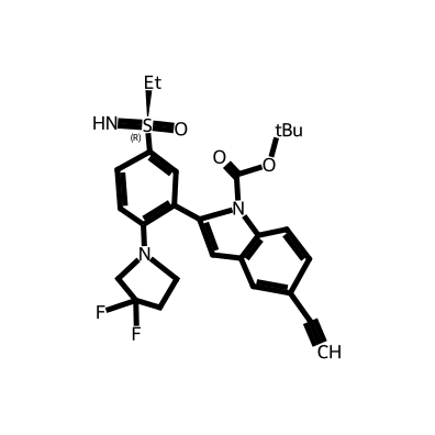 C#Cc1ccc2c(c1)cc(-c1cc([S@](=N)(=O)CC)ccc1N1CCC(F)(F)C1)n2C(=O)OC(C)(C)C